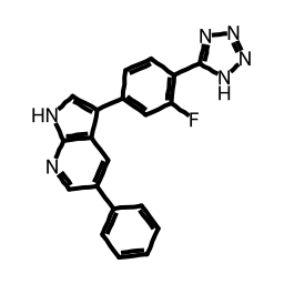 Fc1cc(-c2c[nH]c3ncc(-c4ccccc4)cc23)ccc1-c1nnn[nH]1